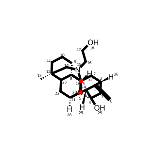 C=C1[C@H]2CC[C@]3(C(C2)[C@@]24CCC[C@@]5(C)CN(CCO)[C@@H]2O[C@@H]3CC54)[C@H]1O